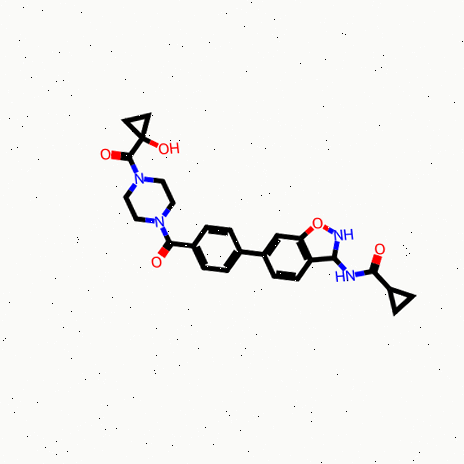 O=C(NC1NOc2cc(-c3ccc(C(=O)N4CCN(C(=O)C5(O)CC5)CC4)cc3)ccc21)C1CC1